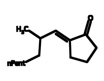 CCCCCCC(C)/C=C1\CCCC1=O